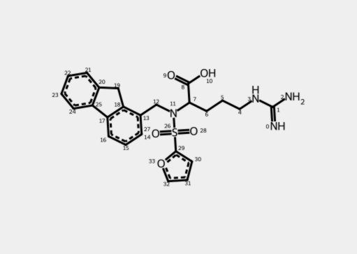 N=C(N)NCCCC(C(=O)O)N(Cc1cccc2c1Cc1ccccc1-2)S(=O)(=O)c1ccco1